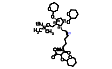 COC(=O)C(OC1CCCCO1)C(=O)CCC/C=C\C[C@@H]1[C@@H](CO[Si](C)(C)C(C)(C)C)[C@H](OC2CCCCO2)C[C@@H]1OC1CCCCO1